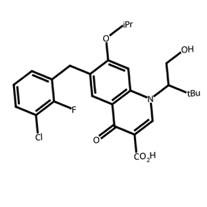 CC(C)Oc1cc2c(cc1Cc1cccc(Cl)c1F)c(=O)c(C(=O)O)cn2C(CO)C(C)(C)C